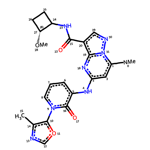 CNc1cc(Nc2cccn(-c3ocnc3C)c2=O)nc2c(C(=O)NC3CC[C@H]3OC)cnn12